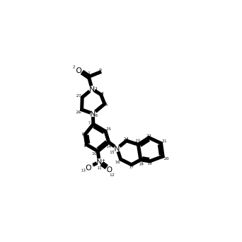 CC(=O)N1CCN(c2ccc([N+](=O)[O-])c(N3CCc4ccccc4C3)c2)CC1